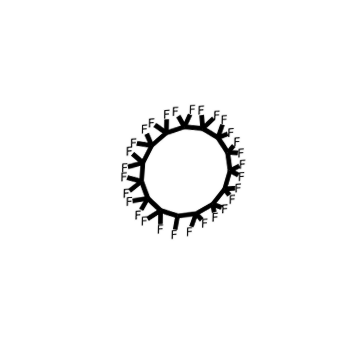 FC1C(F)(F)C(F)(F)C(F)(F)C(F)(F)C(F)(F)C(F)(F)C(F)(F)C(F)(F)C(F)(F)C(F)(F)C(F)(F)C(F)(F)C(F)(F)C1(F)F